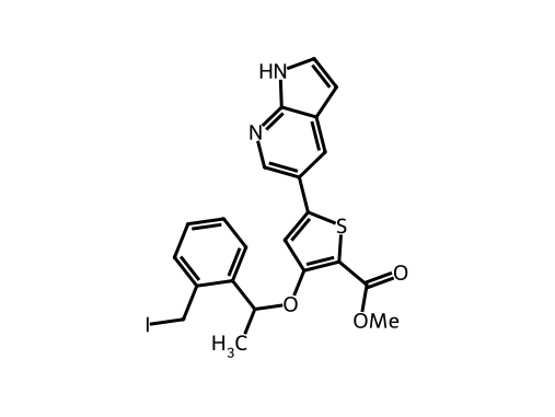 COC(=O)c1sc(-c2cnc3[nH]ccc3c2)cc1OC(C)c1ccccc1CI